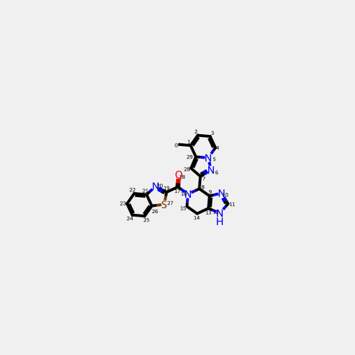 Cc1cccn2nc(C3c4nc[nH]c4CCN3C(=O)c3nc4ccccc4s3)cc12